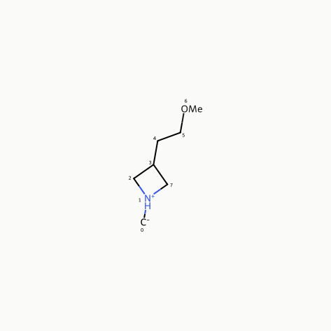 [CH2-][NH+]1CC(CCOC)C1